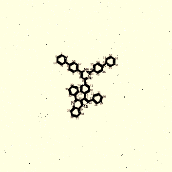 c1ccc(-c2ccc(-c3cc(-c4ccc(-c5c(-c6ccccc6)sc6c5c(-c5ccccc5)nc5ccccc56)cc4)nc(-c4ccc(-c5ccccc5)cc4)n3)cc2)cc1